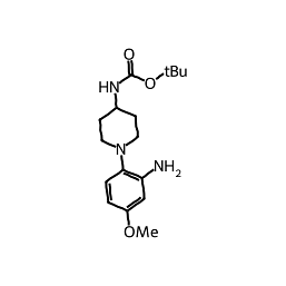 COc1ccc(N2CCC(NC(=O)OC(C)(C)C)CC2)c(N)c1